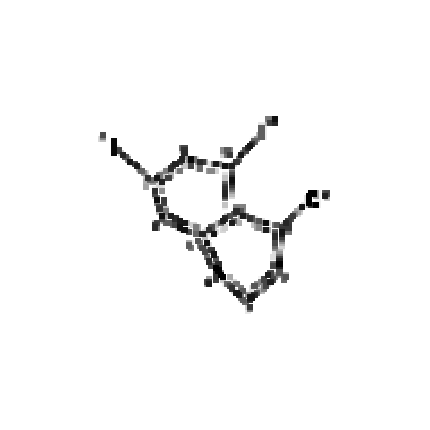 Clc1ccnc2cc(I)cc(I)c12